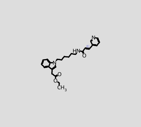 CCOC(=O)Cc1cn(CCCCCCNC(=O)/C=C/c2cccnc2)c2ccccc12